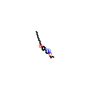 CCCCCCCCCCOc1ccc(-c2ccc(OCC(C)CC)nn2)cc1